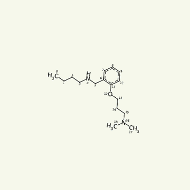 CCCCNCc1ccccc1OCCCN(C)C